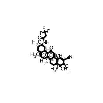 CC1(C)C(=O)C(C#N)=C[C@]2(C)C3=CC(=O)[C@]4(O)[C@@H]5C[C@@](C)(NC(=O)CC(F)(F)F)CC[C@@]5(C)CC[C@@]4(C)[C@]3(C)CC[C@@H]12